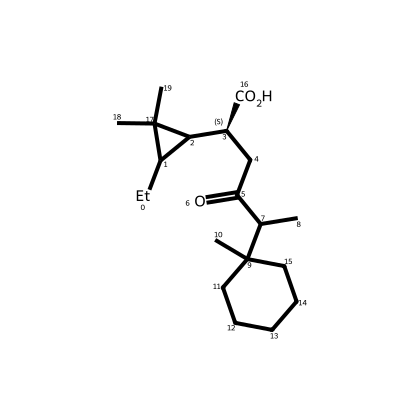 CCC1C([C@H](CC(=O)C(C)C2(C)CCCCC2)C(=O)O)C1(C)C